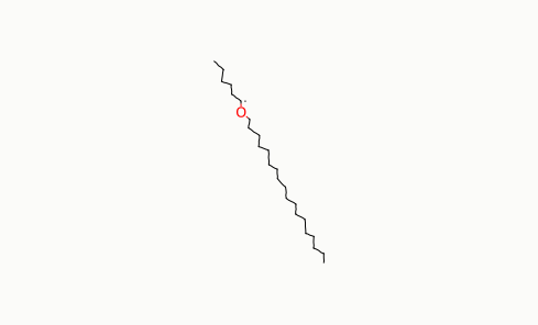 CCCCC[CH]OCCCCCCCCCCCCCCCCCC